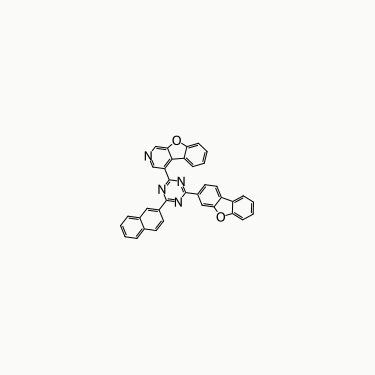 c1ccc2cc(-c3nc(-c4ccc5c(c4)oc4ccccc45)nc(-c4cncc5oc6ccccc6c45)n3)ccc2c1